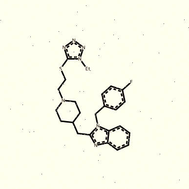 CCn1nnnc1SCCN1CCC(Cc2nc3ccccc3n2Cc2ccc(F)cc2)CC1